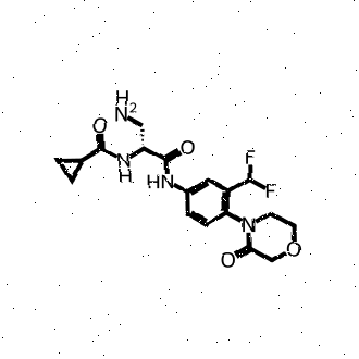 NC[C@@H](NC(=O)C1CC1)C(=O)Nc1ccc(N2CCOCC2=O)c(C(F)F)c1